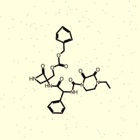 CCN1CCN(C(=O)NC(C(=O)NC2(COC(=O)OCc3ccccc3)CNC2=O)c2ccccc2)C(=O)C1=O